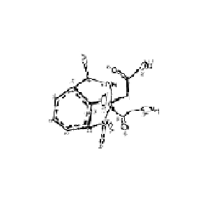 O=C(O)CC1(C(=O)O)NC(=O)c2cccc(c2Cl)S1(=O)=O